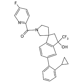 O=C(c1ccc(F)cn1)N1CCC2(C1)CC(O)(C(F)(F)F)c1cc(-c3ccccc3C3CC3)ccc12